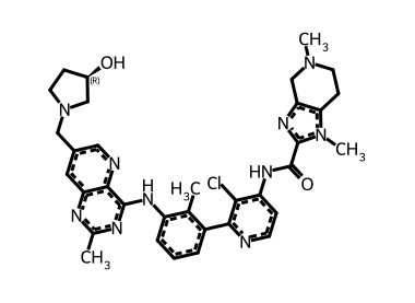 Cc1nc(Nc2cccc(-c3nccc(NC(=O)c4nc5c(n4C)CCN(C)C5)c3Cl)c2C)c2ncc(CN3CC[C@@H](O)C3)cc2n1